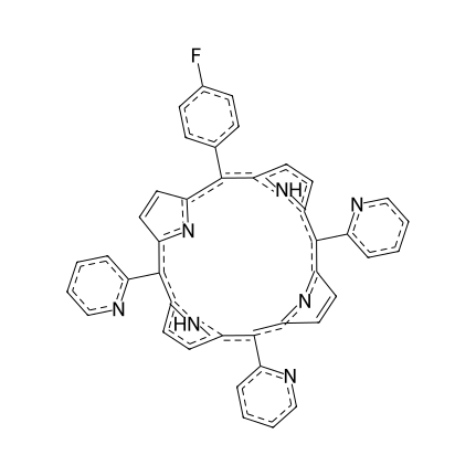 Fc1ccc(-c2c3nc(c(-c4ccccn4)c4ccc([nH]4)c(-c4ccccn4)c4nc(c(-c5ccccn5)c5ccc2[nH]5)C=C4)C=C3)cc1